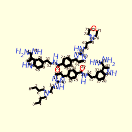 CCCCN(CCCC)CCNc1nccc(-c2ccc(C(=O)NCCc3ccc4[nH]cc(C(=N)N)c4c3)cc2)n1.N=C(N)c1c[nH]c2ccc(CCNC(=O)c3ccc(-c4ccnc(NCCCN5CCOCC5)n4)cc3)cc12